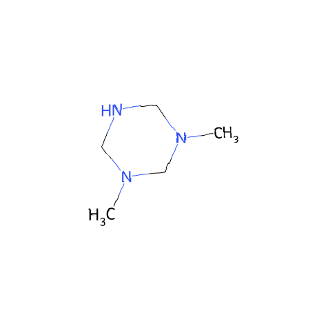 CN1CNCN(C)C1